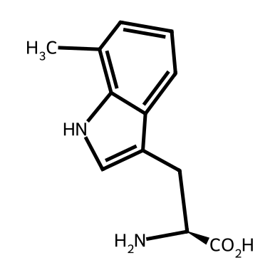 Cc1cccc2c(C[C@H](N)C(=O)O)c[nH]c12